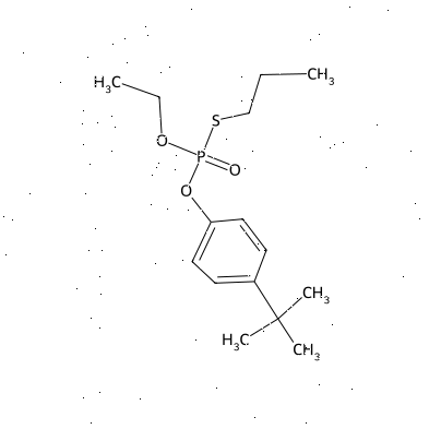 CCCSP(=O)(OCC)Oc1ccc(C(C)(C)C)cc1